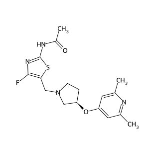 CC(=O)Nc1nc(F)c(CN2CC[C@@H](Oc3cc(C)nc(C)c3)C2)s1